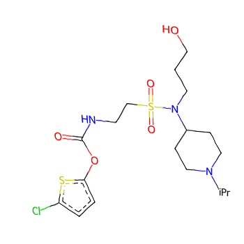 CC(C)N1CCC(N(CCCO)S(=O)(=O)CCNC(=O)Oc2ccc(Cl)s2)CC1